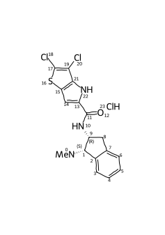 CN[C@H]1c2ccccc2C[C@H]1NC(=O)c1cc2sc(Cl)c(Cl)c2[nH]1.Cl